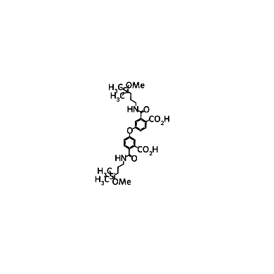 CO[Si](C)(C)CCCNC(=O)c1ccc(Oc2ccc(C(=O)O)c(C(=O)NCCC[Si](C)(C)OC)c2)cc1C(=O)O